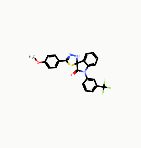 COc1ccc(C2=NNC3(S2)C(=O)N(c2cccc(C(F)(F)F)c2)c2ccccc23)cc1